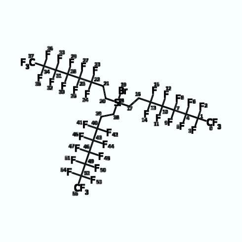 FC(F)(F)C(F)(F)C(F)(F)C(F)(F)C(F)(F)C(F)(F)CC[Si](Br)(CCC(F)(F)C(F)(F)C(F)(F)C(F)(F)C(F)(F)C(F)(F)F)CCC(F)(F)C(F)(F)C(F)(F)C(F)(F)C(F)(F)C(F)(F)F